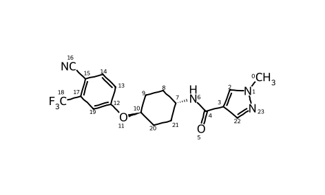 Cn1cc(C(=O)N[C@H]2CC[C@H](Oc3ccc(C#N)c(C(F)(F)F)c3)CC2)cn1